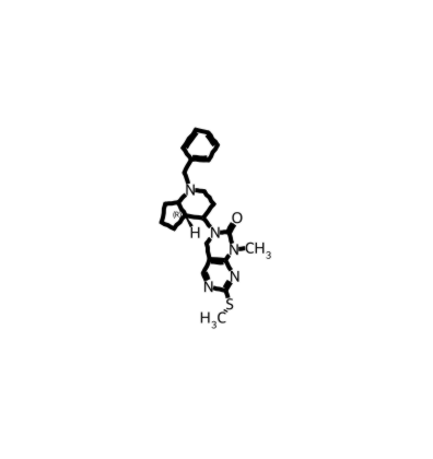 CSc1ncc2c(n1)N(C)C(=O)N(C1CCN(Cc3ccccc3)C3CCC[C@H]31)C2